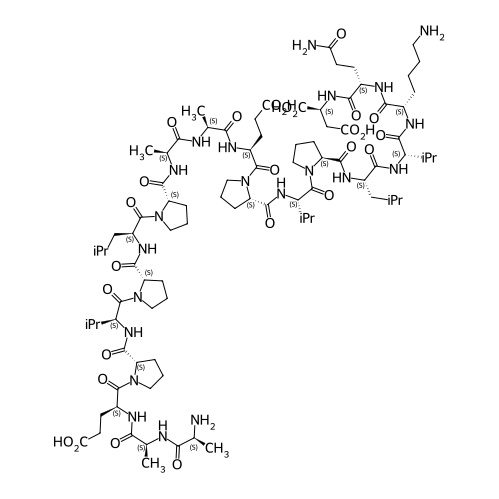 CC(C)C[C@H](NC(=O)[C@@H]1CCCN1C(=O)[C@@H](NC(=O)[C@@H]1CCCN1C(=O)[C@H](CCC(=O)O)NC(=O)[C@H](C)NC(=O)[C@H](C)NC(=O)[C@@H]1CCCN1C(=O)[C@H](CC(C)C)NC(=O)[C@@H]1CCCN1C(=O)[C@@H](NC(=O)[C@@H]1CCCN1C(=O)[C@H](CCC(=O)O)NC(=O)[C@H](C)NC(=O)[C@H](C)N)C(C)C)C(C)C)C(=O)N[C@H](C(=O)N[C@@H](CCCCN)C(=O)N[C@@H](CCC(N)=O)C(=O)N[C@@H](CC(=O)O)C(=O)O)C(C)C